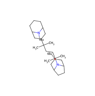 CC(C)(C)C1CC2CCC(C1)N2C(C)(C)CCC(C)(C)C1CC2CCCC(C1)N2C(C)(C)C